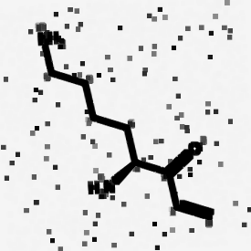 C=CC(=O)[C@@H](N)CCCCN